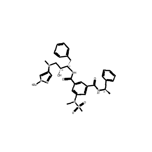 C[C@@H](NC(=O)c1cc(C(=O)N[C@@H](Cc2ccccc2)[C@H](O)CN(C)c2cnn(C(C)(C)C)c2)cc(N(C)S(C)(=O)=O)c1)c1ccccc1